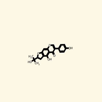 CC(C)(O)C1Cc2c(cc3occ(-c4ccc(O)cc4)c(=O)c3c2O)O1